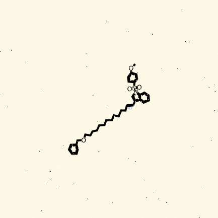 COc1ccc(S(=O)(=O)n2cc(/C=C/CCCCCCCCCCCCOCc3ccccc3)c3ccccc32)cc1